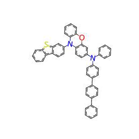 c1ccc(-c2ccc(-c3ccc(N(c4ccccc4)c4ccc5c(c4)Oc4ccccc4N5c4ccc5c(c4)sc4ccccc45)cc3)cc2)cc1